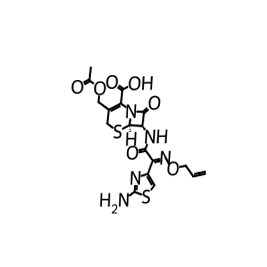 C=CCON=C(C(=O)N[C@@H]1C(=O)N2C(C(=O)O)=C(COC(C)=O)CS[C@H]12)c1csc(N)n1